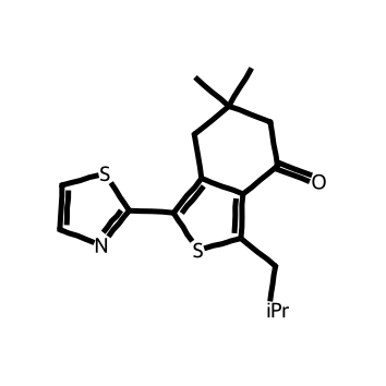 CC(C)Cc1sc(-c2nccs2)c2c1C(=O)CC(C)(C)C2